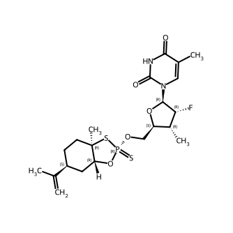 C=C(C)[C@H]1CC[C@@]2(C)S[P@](=S)(OC[C@H]3O[C@@H](n4cc(C)c(=O)[nH]c4=O)[C@H](F)[C@@H]3C)O[C@@H]2C1